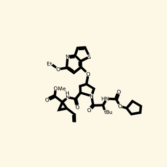 C=CC1CC1(NC(=O)C1CC(Oc2cc(OCC)nc3ccsc23)CN1C(=O)C(NC(=O)OC1CCCC1)C(C)(C)C)C(=O)OC